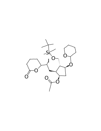 CC(=O)O[C@@H]1C[C@H](OC2CCCCO2)[C@@H](CO[Si](C)(C)C(C)(C)C)[C@@H]1CC(I)C1CCCC(=O)O1